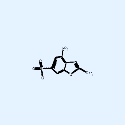 Cc1nc2c([N+](=O)[O-])cc(S(=O)(=O)Cl)cc2o1